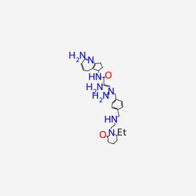 CCC1CCCC(=O)N1CCNCc1ccc(CN(N)/C=C(\N)C(=O)NC2CCC3=C2CC=CC(N)=N3)cc1